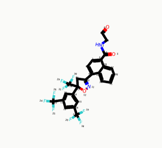 O=CCNC(=O)c1ccc(C2=NOC(c3cc(C(F)(F)F)cc(C(F)(F)F)c3)(C(F)(F)F)C2)c2ccccc12